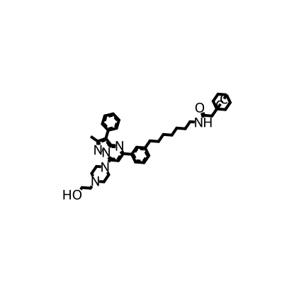 Cc1nn2c(N3CCN(CCO)CC3)cc(-c3cccc(CCCCCCCNC(=O)CC45CCC(CC4)CC5)c3)nc2c1-c1ccccc1